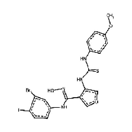 COc1ccc(NC(=S)Nc2cocc2/C(=N/O)Nc2ccc(F)c(Br)c2)cc1